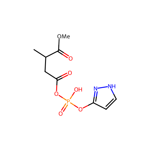 COC(=O)C(C)CC(=O)OP(=O)(O)Oc1cc[nH]n1